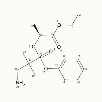 CCOC(=O)[C@H](C)OP(=O)(Oc1ccccc1)C(C)(C)CN